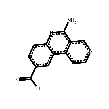 Nc1nc2ccc(C(=O)Cl)cc2c2ccncc12